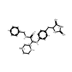 O=C1NC(=O)C(Cc2ccc(OC(C(=O)OCc3ccccc3)[C@@H]3CNCCO3)cc2)S1